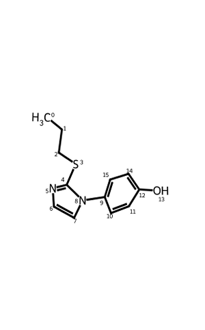 CCCSc1nccn1-c1ccc(O)cc1